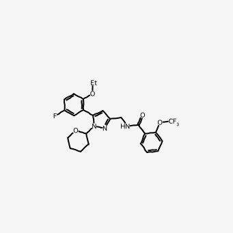 CCOc1ccc(F)cc1-c1cc(CNC(=O)c2ccccc2OC(F)(F)F)nn1C1CCCCO1